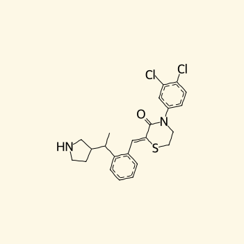 CC(c1ccccc1C=C1SCCN(c2ccc(Cl)c(Cl)c2)C1=O)C1CCNC1